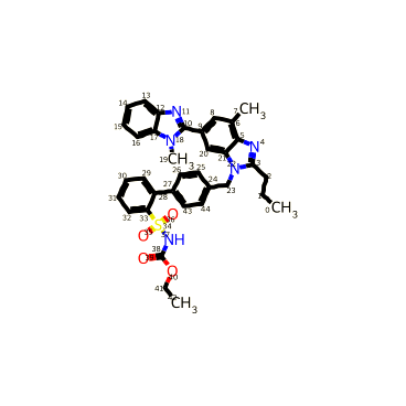 CCCc1nc2c(C)cc(-c3nc4ccccc4n3C)cc2n1Cc1ccc(-c2ccccc2S(=O)(=O)NC(=O)OCC)cc1